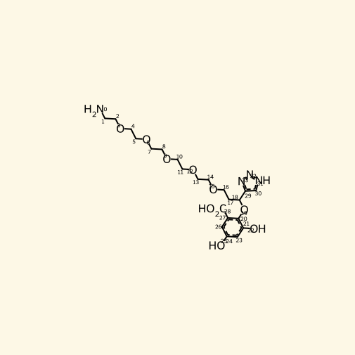 NCCOCCOCCOCCOCCOCCC(Oc1c(O)cc(O)cc1C(=O)O)c1c[nH]nn1